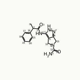 CC(C(=O)Nc1[nH]nc2c1CN(C(N)=O)C2)c1ccccc1